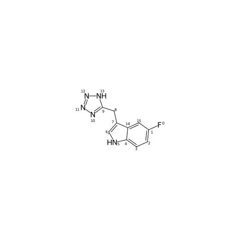 Fc1ccc2[nH][c]c(Cc3nnn[nH]3)c2c1